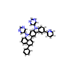 c1ccc(-c2ccc3c4c(cccc24)N(c2cncnc2)c2cc4c(cc2-3)c2cc(-c3ccccn3)ccc2n4-c2cncnc2)cc1